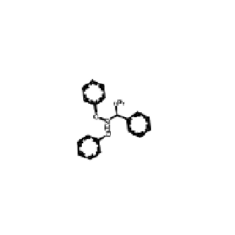 CCCC(c1ccccc1)[SiH](Oc1ccccc1)Oc1ccccc1